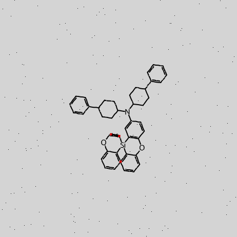 c1ccc(C2CCC(N(c3ccc4c(c3)[Si]3(c5ccccc5Oc5ccccc53)c3ccccc3O4)C3CCC(c4ccccc4)CC3)CC2)cc1